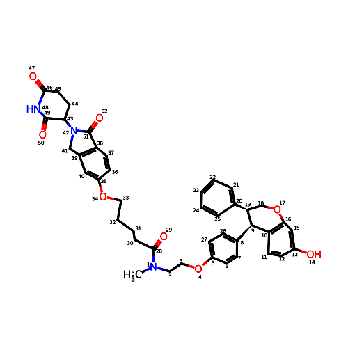 CN(CCOc1ccc([C@@H]2c3ccc(O)cc3OC[C@@H]2c2ccccc2)cc1)C(=O)CCCCOc1ccc2c(c1)CN(C1CCC(=O)NC1=O)C2=O